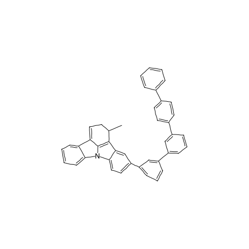 CC1CC=c2c3ccccc3n3c2c1c1cc(-c2cccc(-c4cccc(-c5ccc(-c6ccccc6)cc5)c4)c2)ccc13